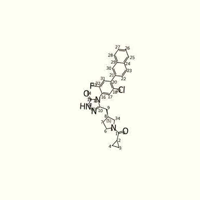 O=C(C1CC1)N1CC[C@@H](Cc2n[nH]c(=O)n2-c2cc(Cl)c(-c3ccc4ccccc4c3)cc2F)C1